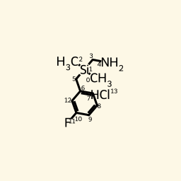 C[Si](C)(CN)Cc1cccc(F)c1.Cl